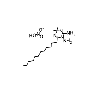 CCCCCCCCCCCCC1=NC(C)(C)N=C(N)N1N.O=[N+]([O-])O